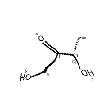 C[C@H](O)C(=O)CO